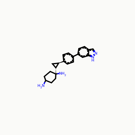 NC1CCC(N)([C@@H]2C[C@H]2c2ccc(-c3ccc4cn[nH]c4c3)cc2)CC1